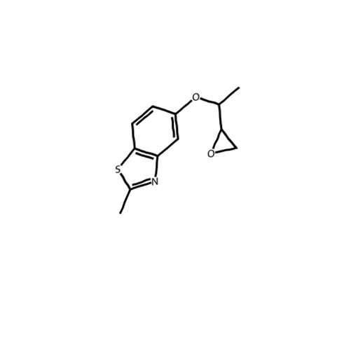 Cc1nc2cc(OC(C)C3CO3)ccc2s1